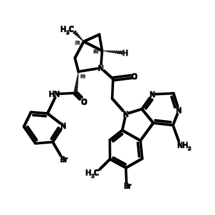 Cc1cc2c(cc1Br)c1c(N)ncnc1n2CC(=O)N1[C@H](C(=O)Nc2cccc(Br)n2)C[C@@]2(C)C[C@@H]12